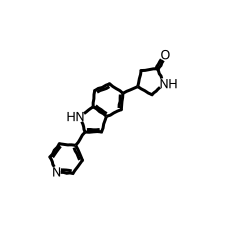 O=C1CC(c2ccc3[nH]c(-c4ccncc4)cc3c2)CN1